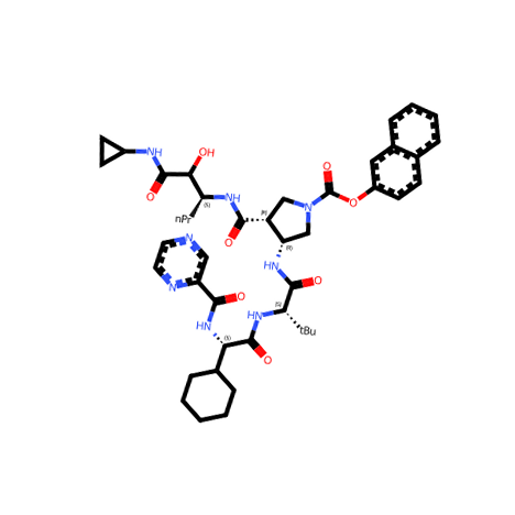 CCC[C@H](NC(=O)[C@@H]1CN(C(=O)Oc2ccc3ccccc3c2)C[C@@H]1NC(=O)[C@@H](NC(=O)[C@@H](NC(=O)c1cnccn1)C1CCCCC1)C(C)(C)C)C(O)C(=O)NC1CC1